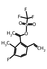 C=Cc1ccc(F)c(C)c1C(=C)OS(=O)(=O)C(F)(F)F